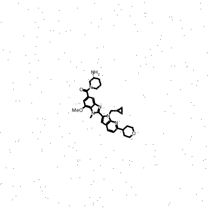 COc1cc(C(=O)N2CCC[C@@H](N)C2)cc2nc(-c3cc4ccc(C5CCOCC5)nc4n3CC3CC3)n(C)c12